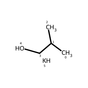 CC(C)CO.[KH]